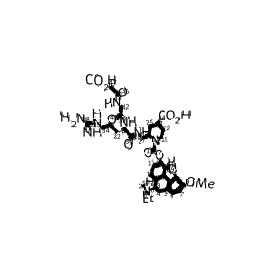 CCN(C)[C@@H]1Cc2ccc(OC)c3c2C2[C@H]1CC=C(OC(=O)N1CCC(C(=O)O)CC1CNC(=O)[C@H](CCCNC(=N)N)NC(=O)CNC(=O)CC(=O)O)[C@@H]2O3